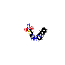 O=C1NC(=O)/C(=C/c2ccnc(N[C@H]3CCCN(Cc4cc5ccccc5cn4)C3)n2)S1